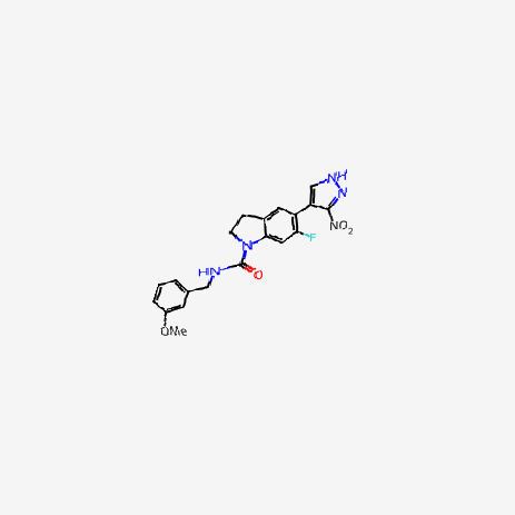 COc1cccc(CNC(=O)N2CCc3cc(-c4c[nH]nc4[N+](=O)[O-])c(F)cc32)c1